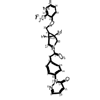 O=C(Cc1ccc(-n2ncccc2=O)cc1)N1C[C@@H]2C(COc3cccnc3C(F)(F)F)[C@@H]2C1